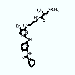 CSC[C@H](N)C(=O)NCCCNc1nc(Nc2cccc(NC(=O)N3CCCC3)c2)ncc1Br